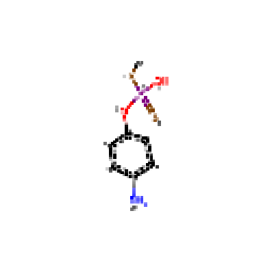 CSP(O)(=S)Oc1ccc(N)cc1